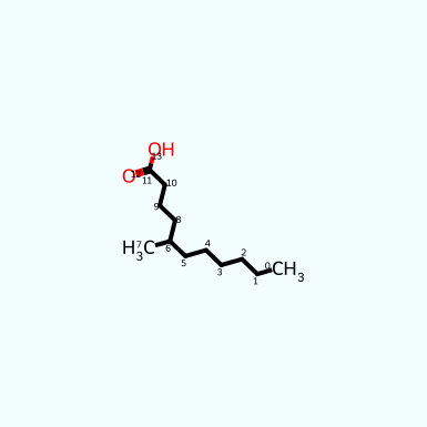 CCCCCCC(C)CCCC(=O)O